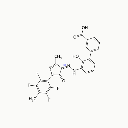 CC1=NN(c2c(F)c(F)c(C)c(F)c2F)C(=O)/C1=N\Nc1cccc(-c2cccc(C(=O)O)c2)c1O